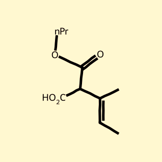 CC=C(C)C(C(=O)O)C(=O)OCCC